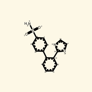 NS(=O)(=O)c1ccc(-c2ccccc2-c2ncco2)cc1